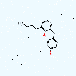 CCCCc1cccc(Cc2ccc(O)cc2)c1O